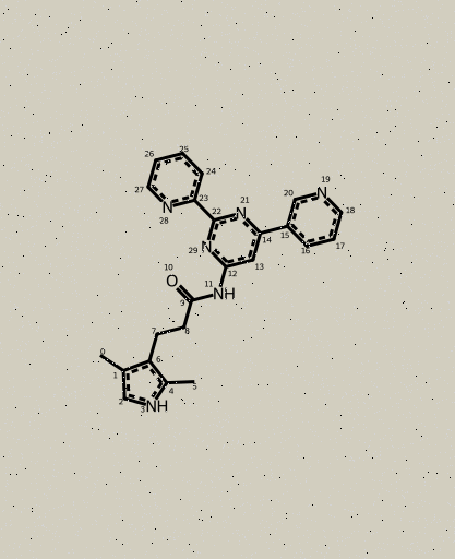 Cc1c[nH]c(C)c1CCC(=O)Nc1cc(-c2cccnc2)nc(-c2ccccn2)n1